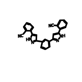 N#Cc1ccccc1-c1cc(-c2cccc(-c3cc(-c4ccccc4C#N)[nH]n3)c2)n[nH]1